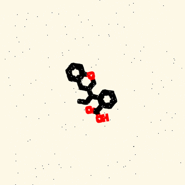 CCC(c1ccccc1C(=O)O)C1COc2ccccc2C1